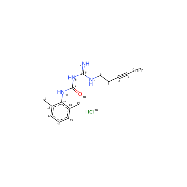 CCCC#CCCNC(=N)NC(=O)Nc1c(C)cccc1C.Cl